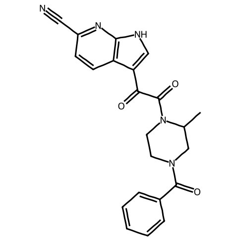 CC1CN(C(=O)c2ccccc2)CCN1C(=O)C(=O)c1c[nH]c2nc(C#N)ccc12